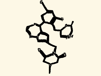 C[C@H]1CNCC(Cc2c(F)cc(Cl)cc2-c2ncnn3cc(CN4C(=O)CN(C)CC4=O)cc23)O1